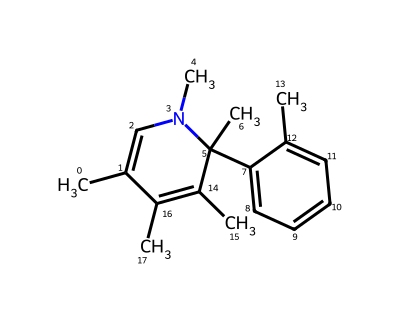 CC1=CN(C)C(C)(c2ccccc2C)C(C)=C1C